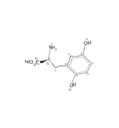 N[C@@H](Cc1cc(O)ccc1O)C(=O)O